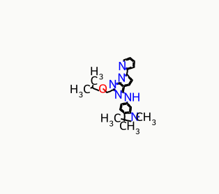 CC(C)COCc1nc(Nc2ccc3c(c2)N(C)CC3(C)C)c2ccc(-c3ccccn3)nc2n1